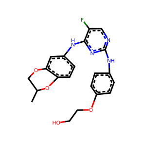 CC1COc2cc(Nc3nc(Nc4ccc(OCCO)cc4)ncc3F)ccc2O1